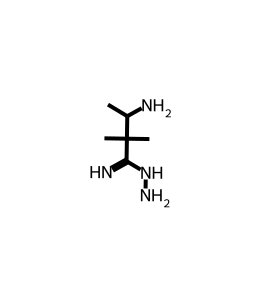 CC(N)C(C)(C)C(=N)NN